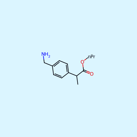 CCCOC(=O)C(C)c1ccc(CN)cc1